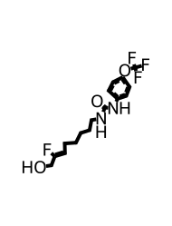 O=C(NCCCCC/C=C(\F)CO)Nc1ccc(OC(F)(F)F)cc1